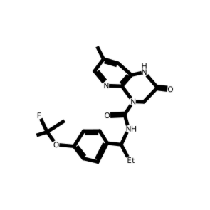 CCC(NC(=O)N1CC(=O)Nc2cc(C)cnc21)c1ccc(OC(C)(C)F)cc1